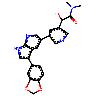 CN(C)C(=O)C(O)c1cncc(-c2cnc3[nH]cc(-c4ccc5c(c4)OCO5)c3c2)c1